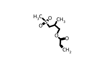 C=CC(=O)OCC(C)CS(C)(=O)=O